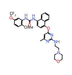 COc1ccc(OC(F)(F)F)cc1NC(=O)Nc1ccc(Oc2cc(C)nc(NCCN3CCOCC3)n2)c2ccccc12